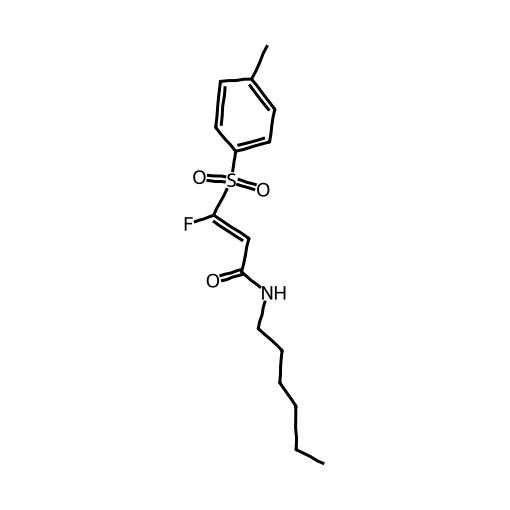 CCCCCCNC(=O)C=C(F)S(=O)(=O)c1ccc(C)cc1